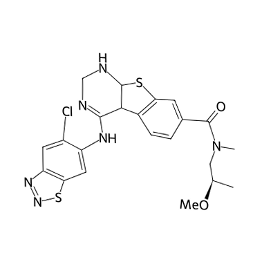 CO[C@H](C)CN(C)C(=O)c1ccc2c(c1)SC1NCN=C(Nc3cc4snnc4cc3Cl)C21